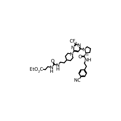 CCOC(=O)CCNC(=O)NCCC1CCN(c2cc(N3CCC[C@H]3C(=O)NCCc3ccc(C#N)cc3)nc(C(F)(F)F)n2)CC1